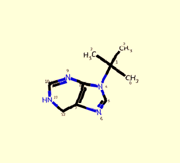 CC(C)(C)n1cnc2c1N=CNC2